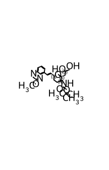 COc1cnc2cccc(C=C[C@@H]3CC[C@@H](NC(=O)OC(C)(C)C)[C@H](C[C@H](O)CO)O3)c2n1